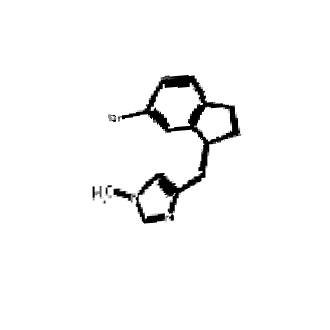 Cn1cnc(/C=C2/CCc3ccc(Br)cc32)c1